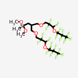 CO[Si](C)(CC(COCC(F)(F)C(F)OC(F)(F)C(F)(F)C(F)(F)F)COCC(F)(F)C(F)OC(F)(F)C(F)(F)C(F)(F)F)OC